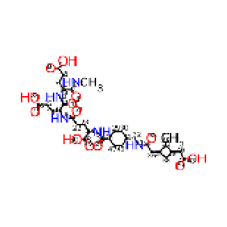 CNC(=O)[C@H](CCC(=O)O)NC(=O)[C@H](CCC(=O)O)NC(=O)CCC(NC(=O)[C@H]1CC[C@H](CNC(=O)CC2CC(CC(=O)O)C2C)CC1)C(=O)O